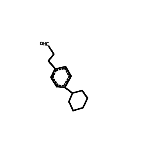 O=CCCc1ccc(C2CCCCC2)cc1